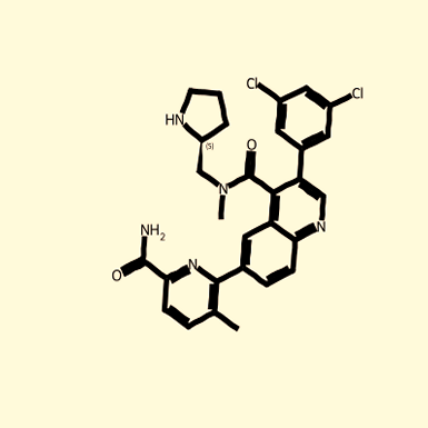 Cc1ccc(C(N)=O)nc1-c1ccc2ncc(-c3cc(Cl)cc(Cl)c3)c(C(=O)N(C)C[C@@H]3CCCN3)c2c1